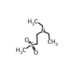 CCN(CC)CCS(C)(=O)=O